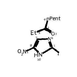 CCCCCC(=O)CC.Cc1ncc([N+](=O)[O-])[nH]1